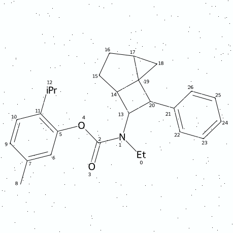 CCN(C(=O)Oc1cc(C)ccc1C(C)C)C1C2CCC3CC32C1c1ccccc1